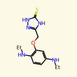 CCNc1ccc(NCC)c(OCc2n[nH]c(=S)[nH]2)c1